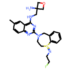 Cc1ccc2nc(N3CCS(=NCCF)c4ccccc4C3)nc(NCC3(N)COC3)c2c1